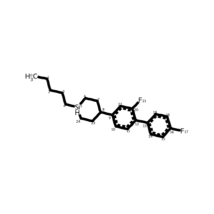 CCCCC[SiH]1CCC(c2ccc(-c3ccc(F)cc3)c(F)c2)CC1